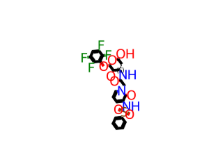 O=C(O)C[C@H](NC(=O)Cn1cccc(NS(=O)(=O)c2ccccc2)c1=O)C(=O)COc1c(F)c(F)cc(F)c1F